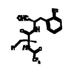 CCc1ccccc1C[C@@H]([C]=O)NC(=O)[C@](C)(CC(C)C)NC(=O)C(F)(F)F